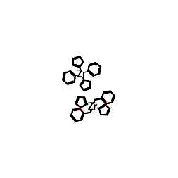 C1=CC[C]([Zr]([CH2]c2ccccc2)([CH2]c2ccccc2)[C]2=CC=CC2)=C1.C1=CC[C]([Zr]([C]2=CC=CC2)([c]2ccccc2)[c]2ccccc2)=C1